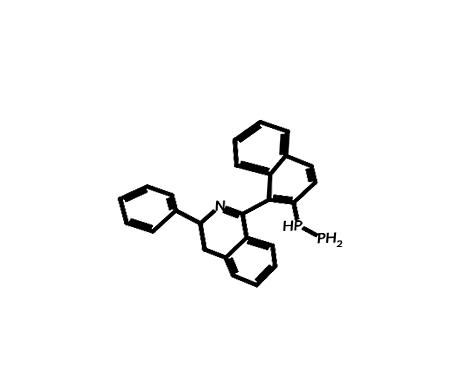 PPc1ccc2ccccc2c1C1=NC(c2ccccc2)Cc2ccccc21